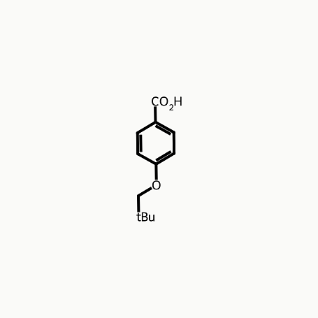 CC(C)(C)COc1ccc(C(=O)O)cc1